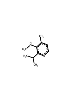 CNc1c(C)ccnc1C(C)C